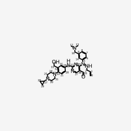 C=CCNN(c1cccc(CN(C)C)c1)c1nc(Nc2ccc(N3CCN(C4CC4)CC3)c(CO)c2)ncc1C=O